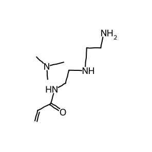 C=CC(=O)NCCNCCN.CN(C)C